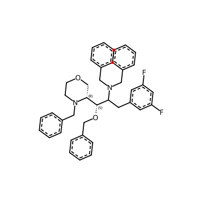 Fc1cc(F)cc(CC([C@H](OCc2ccccc2)[C@H]2COCCN2Cc2ccccc2)N(Cc2ccccc2)Cc2ccccc2)c1